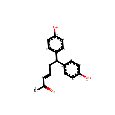 CCC(=O)C=CCC(c1ccc(O)cc1)c1ccc(O)cc1